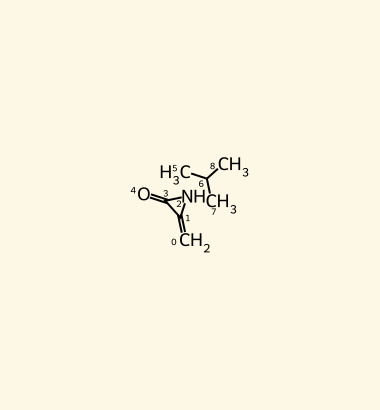 C=C1NC1=O.CC(C)C